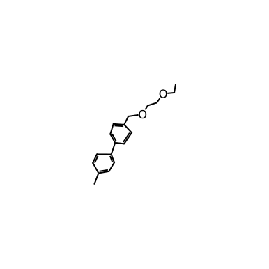 CCOCCOCc1ccc(-c2ccc(C)cc2)cc1